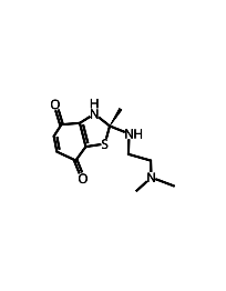 CN(C)CCN[C@@]1(C)NC2=C(S1)C(=O)C=CC2=O